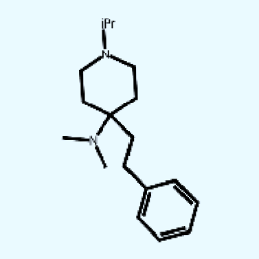 CC(C)N1CCC(CCc2ccccc2)(N(C)C)CC1